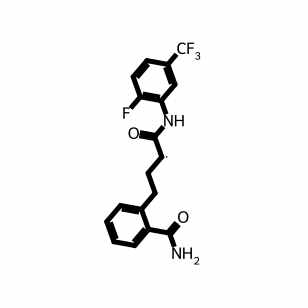 NC(=O)c1ccccc1CC[CH]C(=O)Nc1cc(C(F)(F)F)ccc1F